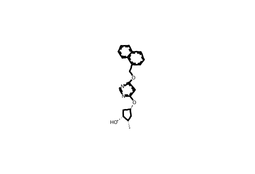 C[C@H]1C[C@@H](Oc2cc(OCc3cccc4ccccc34)ncn2)C[C@H]1O